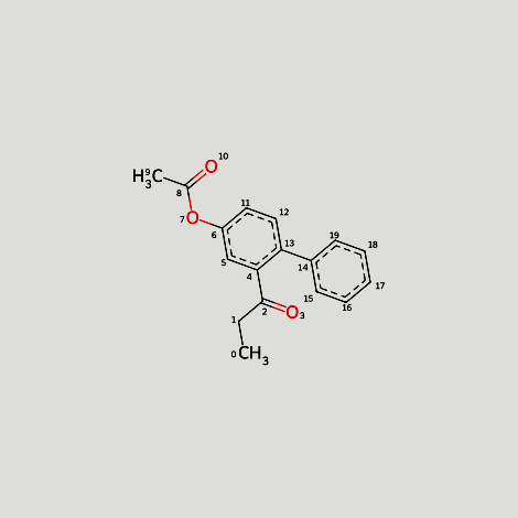 CCC(=O)c1cc(OC(C)=O)ccc1-c1ccccc1